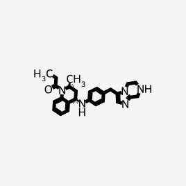 CCC(=O)N1c2ccccc2[C@H](Nc2ccc(Cc3cnc4n3CCNC4)cc2)C[C@@H]1C